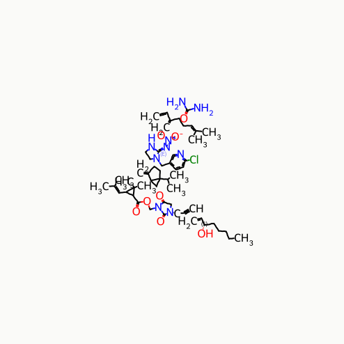 C#CCN1CC(=O)N(COC(=O)C2C(C=C(C)C)C2(C)C)C1=O.C=C1CCC2(C(C)C)CC12.C=CC(=C)CCC=C(C)C.C=C[C@@H](O)CCCCC.NC(N)=O.O=[N+]([O-])/N=C1\NCCN1Cc1ccc(Cl)nc1